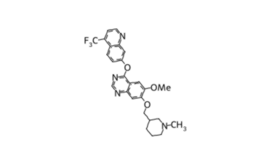 COc1cc2c(Oc3ccc4c(C(F)(F)F)ccnc4c3)ncnc2cc1OCC1CCCN(C)C1